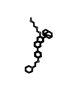 COCCOCOc1cc2ccc(-c3ccc(OCCN4CCCCC4)cc3)cc2cc1C12CC3CC(CC(C3)C1)C2